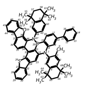 Cc1cc2c(cc1N1c3cc(-c4ccccc4)ccc3B3c4c1cc1c(sc5ccccc51)c4-c1ccc4c(oc5ccccc54)c1N3c1ccc3c(c1)C(C)(C)CCC3(C)C)C(C)(C)CCC2(C)C